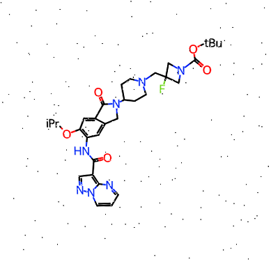 CC(C)Oc1cc2c(cc1NC(=O)c1cnn3cccnc13)CN(C1CCN(CC3(F)CN(C(=O)OC(C)(C)C)C3)CC1)C2=O